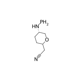 N#CCC1CC[C@H](NP)CO1